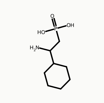 NC(CP(=O)(O)O)C1CCCCC1